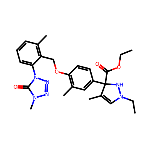 CCOC(=O)C1(c2ccc(OCc3c(C)cccc3-n3nnn(C)c3=O)c(C)c2)NN(CC)C=C1C